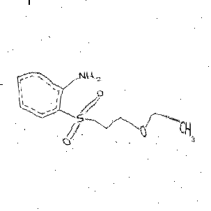 CCOCCS(=O)(=O)c1ccccc1N